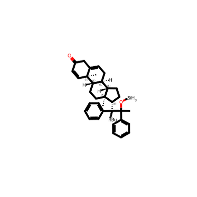 CCCCC(c1ccccc1)([C@H]1CC[C@H]2[C@@H]3CC=C4CC(=O)C=C[C@]4(C)[C@H]3CC[C@]12C)C(C)(O[SiH3])c1ccccc1